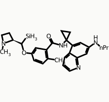 CCCNc1cc(C2(NC(=O)c3cc(OC([SiH3])[C@@H]4CCN4C)ccc3C)CC2)c2cccnc2c1